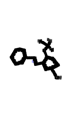 [2H]C([2H])([2H])Oc1ccc(O)cc1/C=C/c1ccccc1